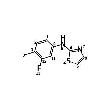 Cc1ccc(Nc2nccs2)cc1F